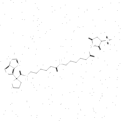 O=C(CCCCCNC(=O)C1(c2scc3[nH]cnc23)CCCO1)NCCCCCC(=O)ON1C(=O)CC(S(=O)(=O)[O-])C1=O.[Na+]